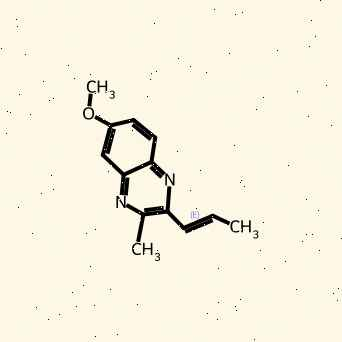 C/C=C/c1nc2ccc(OC)cc2nc1C